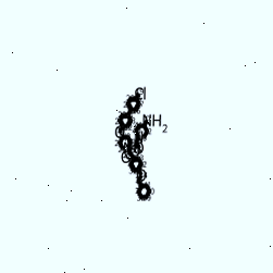 NC1CCN(C(=O)[C@H]2C[C@H](Oc3ccc(-c4ccc(Cl)cc4)cc3)CCN2S(=O)(=O)c2ccc(OCC3CCCCC3)cc2)CC1